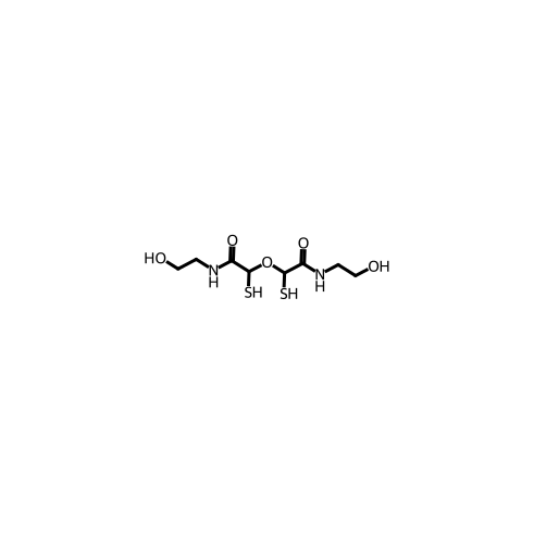 O=C(NCCO)C(S)OC(S)C(=O)NCCO